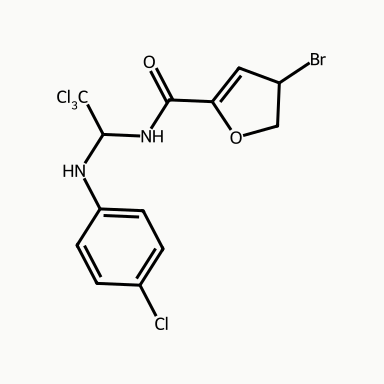 O=C(NC(Nc1ccc(Cl)cc1)C(Cl)(Cl)Cl)C1=CC(Br)CO1